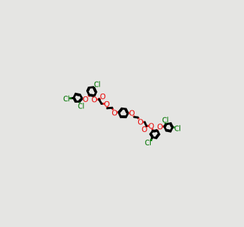 O=C(COCCOc1ccc(OCCOCC(=O)Oc2cc(Cl)ccc2Oc2ccc(Cl)cc2Cl)cc1)Oc1cc(Cl)ccc1Oc1ccc(Cl)cc1Cl